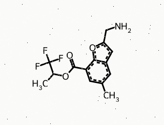 Cc1cc(C(=O)OC(C)C(F)(F)F)c2oc(CN)cc2c1